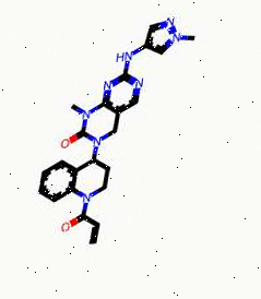 C=CC(=O)N1CCC(N2Cc3cnc(Nc4cnn(C)c4)nc3N(C)C2=O)c2ccccc21